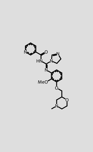 COc1c(/N=C(/NC(=O)c2cccnc2)N2C=NCC2)cccc1OCC1CN(C)CCO1